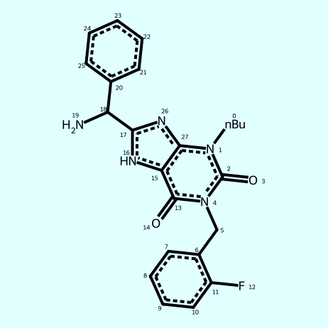 CCCCn1c(=O)n(Cc2ccccc2F)c(=O)c2[nH]c(C(N)c3ccccc3)nc21